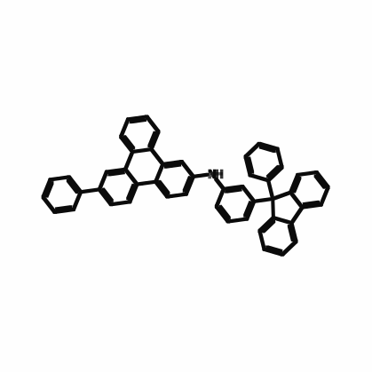 c1ccc(-c2ccc3c4ccc(Nc5cccc(C6(c7ccccc7)c7ccccc7-c7ccccc76)c5)cc4c4ccccc4c3c2)cc1